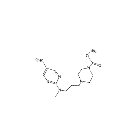 CN(CCCN1CCN(C(=O)OC(C)(C)C)CC1)c1ncc(C=O)cn1